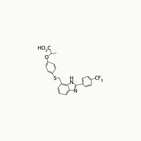 CC(Oc1ccc(SCc2cccc3nc(-c4ccc(C(F)(F)F)cc4)[nH]c23)cc1)C(=O)O